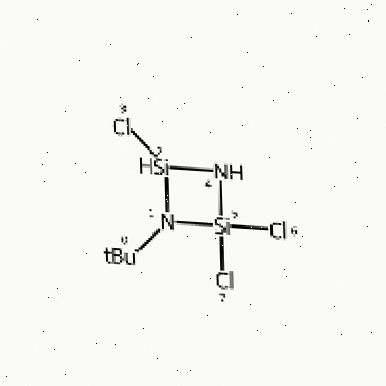 CC(C)(C)N1[SiH](Cl)N[Si]1(Cl)Cl